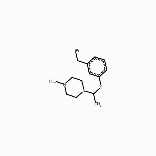 CC(C)Cc1cccc(SC(C)N2CCN(C)CC2)c1